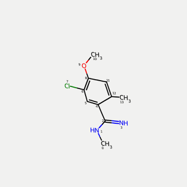 CNC(=N)c1cc(Cl)c(OC)cc1C